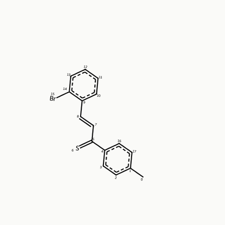 Cc1ccc(C(=S)C=Cc2ccccc2Br)cc1